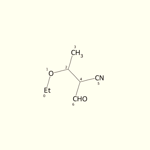 CCOC(C)C(C#N)C=O